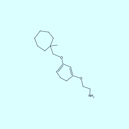 CC1(COC2=CCCC(OCCN)=C2)CCCCCC1